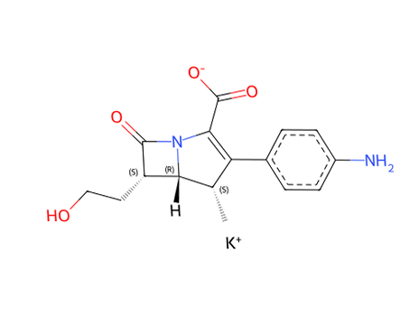 C[C@H]1C(c2ccc(N)cc2)=C(C(=O)[O-])N2C(=O)[C@@H](CCO)[C@@H]12.[K+]